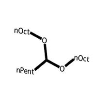 CCCCCCCCOC(CCCCC)OCCCCCCCC